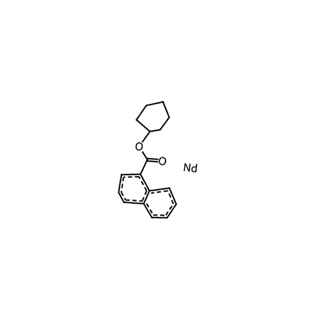 O=C(OC1CCCCC1)c1cccc2ccccc12.[Nd]